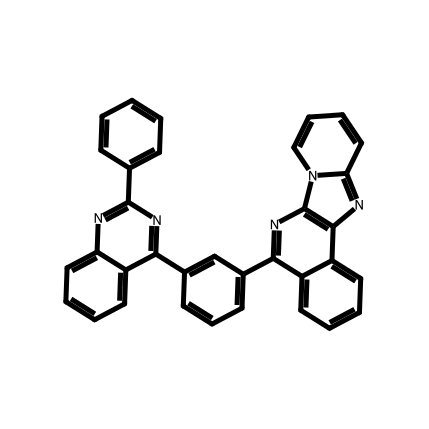 c1ccc(-c2nc(-c3cccc(-c4nc5c(nc6ccccn65)c5ccccc45)c3)c3ccccc3n2)cc1